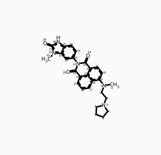 CN(CCN1CCCC1)c1ccc2c3c(cccc13)C(=O)N(c1ccc3[nH]c(=O)n(C)c3c1)C2=O